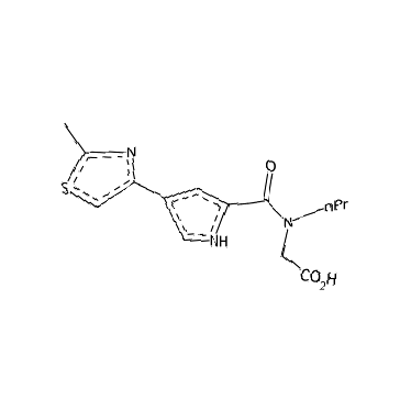 CCCN(CC(=O)O)C(=O)c1cc(-c2csc(C)n2)c[nH]1